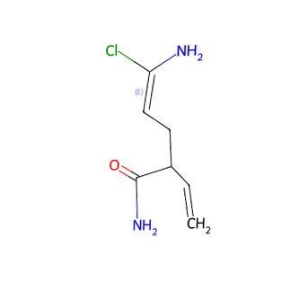 C=CC(C/C=C(\N)Cl)C(N)=O